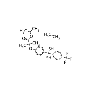 CC.CC(C)OC(=O)C(C)(C)Oc1ccc(C(S)(S)c2ccc(C(F)(F)F)cc2)cc1